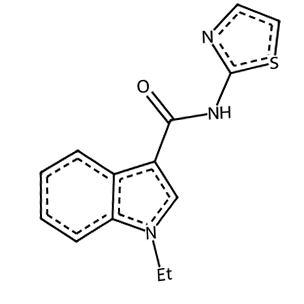 CCn1cc(C(=O)Nc2nccs2)c2ccccc21